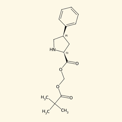 CC(C)(C)C(=O)OCOC(=O)[C@@H]1C[C@H](c2ccccc2)CN1